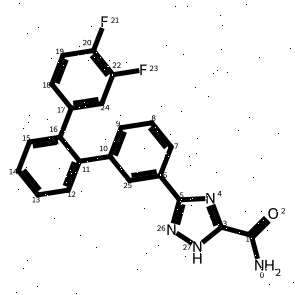 NC(=O)c1nc(-c2cccc(-c3ccccc3-c3ccc(F)c(F)c3)c2)n[nH]1